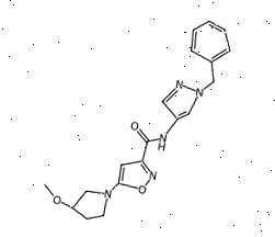 COC1CCN(c2cc(C(=O)Nc3cnn(Cc4ccccc4)c3)no2)C1